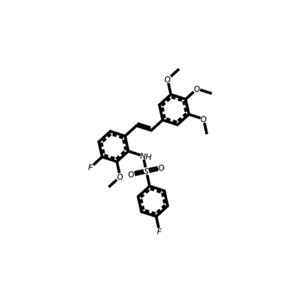 COc1cc(C=Cc2ccc(F)c(OC)c2NS(=O)(=O)c2ccc(F)cc2)cc(OC)c1OC